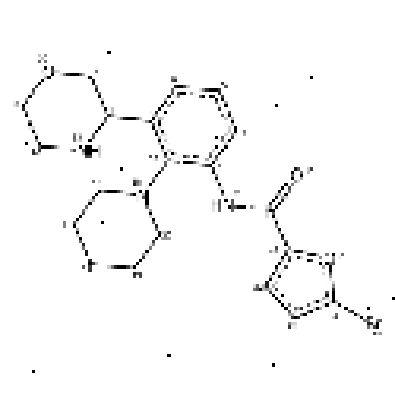 O=C(Nc1cccc(C2COCCN2)c1N1CCCCC1)c1ccc(Br)o1